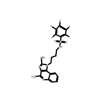 CCCCc1nc2c(N)nc3ccccc3c2n1CCCCNS(=O)(=O)c1c(F)c(F)c(F)c(F)c1F